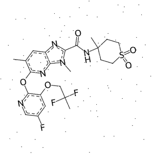 Cc1cc2nc(C(=O)NC3(C)CCS(=O)(=O)CC3)n(C)c2nc1Oc1ncc(F)cc1OCC(C)(F)F